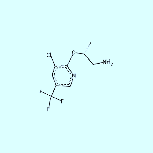 C[C@H](CN)Oc1ncc(C(F)(F)F)cc1Cl